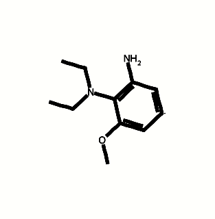 CCN(CC)c1c(N)c[c]cc1OC